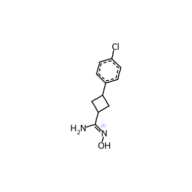 N/C(=N\O)C1CC(c2ccc(Cl)cc2)C1